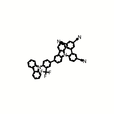 N#Cc1cc(C#N)cc(-c2cc(C#N)ccc2-n2c3ccccc3c3cc(-c4ccc(-n5c6ccccc6c6ccccc65)c(C(F)(F)F)c4)ccc32)c1